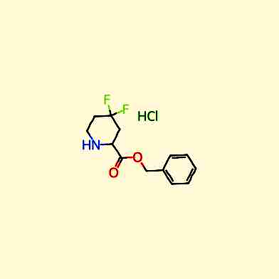 Cl.O=C(OCc1ccccc1)C1CC(F)(F)CCN1